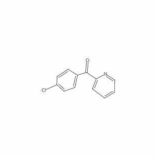 O=C(c1ccc(Cl)cc1)c1ccccn1